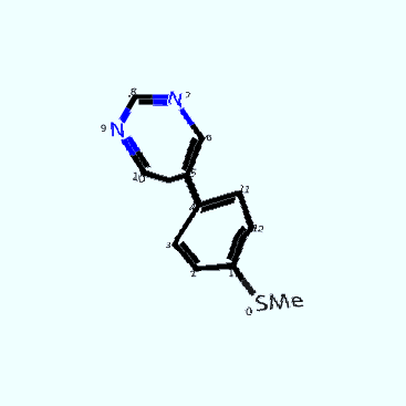 CSc1ccc(-c2cn[c]nc2)cc1